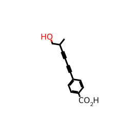 CC(C#CC#Cc1ccc(C(=O)O)cc1)CO